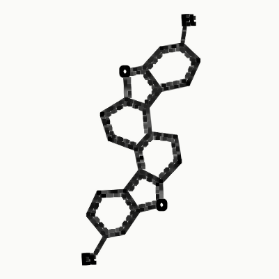 CCc1ccc2c(c1)oc1ccc3c(ccc4oc5cc(CC)ccc5c43)c12